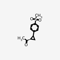 CC(=O)[C@@H]1CC1c1ccc(S(C)(=O)=O)cc1